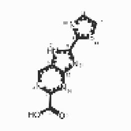 O=C(O)c1ncc2[nH]c(-c3nccs3)nc2n1